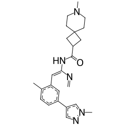 C=N/C(=C\c1cc(-c2cnn(C)c2)ccc1C)NC(=O)C1CC2(CCN(C)CC2)C1